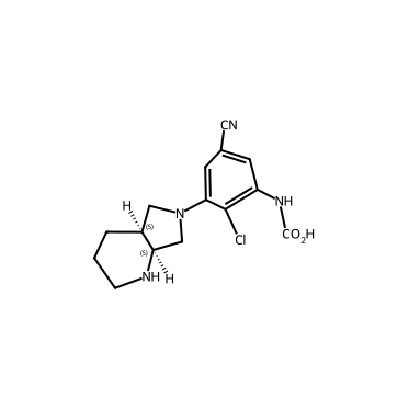 N#Cc1cc(NC(=O)O)c(Cl)c(N2C[C@@H]3CCCN[C@@H]3C2)c1